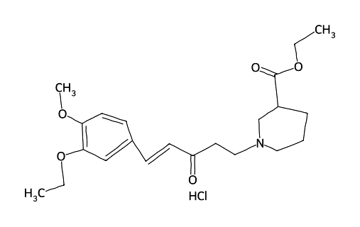 CCOC(=O)C1CCCN(CCC(=O)C=Cc2ccc(OC)c(OCC)c2)C1.Cl